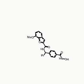 COc1cccc2cc(C(=O)NC(c3ccc(C(=O)NO)cc3)C(C)C)oc12